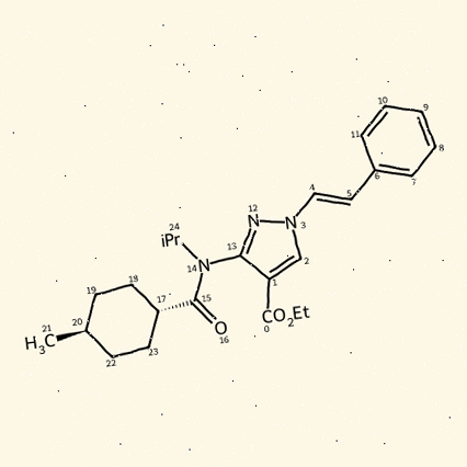 CCOC(=O)c1cn(C=Cc2ccccc2)nc1N(C(=O)[C@H]1CC[C@H](C)CC1)C(C)C